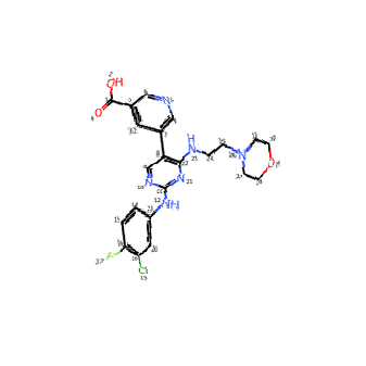 O=C(O)c1cncc(-c2cnc(Nc3ccc(F)c(Cl)c3)nc2NCCN2CCOCC2)c1